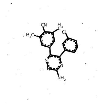 Cc1cc(-c2nnc(N)nc2-c2cccc(Cl)c2)cc(C)c1C#N